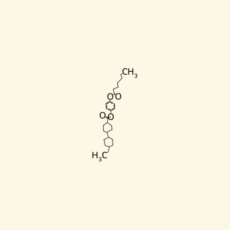 CCCCCCC(=O)Oc1ccc(OC(=O)C2CCC(C3CCC(CC)CC3)CC2)cc1